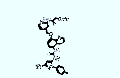 COCC(=O)Nc1cc(COc2ccc(NC(=O)Nc3cc(C(C)(C)C)nn3-c3ccc(C)cc3)c3cccnc23)ccn1